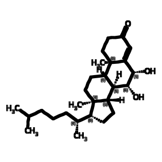 CC(C)CCC[C@@H](C)[C@H]1CC[C@H]2[C@@H]3[C@@H](O)[C@@H](O)C4=CC(=O)CC[C@]4(C)[C@H]3CC[C@]12C